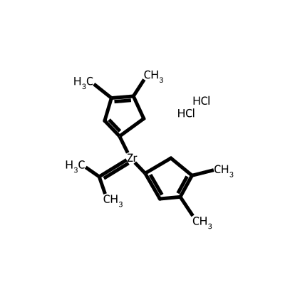 CC1=C(C)C[C]([Zr]([C]2=CC(C)=C(C)C2)=[C](C)C)=C1.Cl.Cl